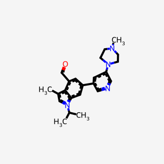 Cc1cn(C(C)C)c2cc(-c3cncc(N4CCN(C)CC4)c3)cc(C=O)c12